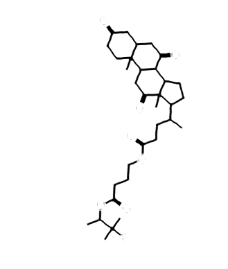 CC(CCC(=O)OCCCC(=O)OC(C)C(C)(C)F)C1CCC2C3C(=O)CC4CC(=O)CCC4(C)C3CC(=O)C12C